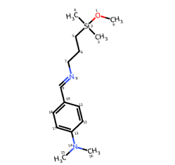 CO[Si](C)(C)CCCN=Cc1ccc(N(C)C)cc1